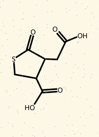 O=C(O)CC1C(=O)SCC1C(=O)O